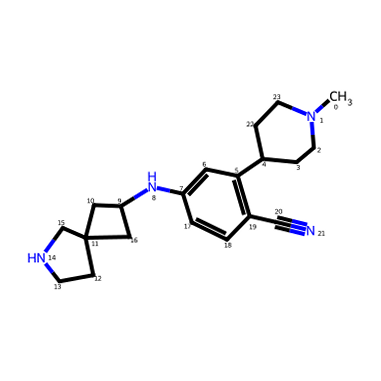 CN1CCC(c2cc(NC3CC4(CCNC4)C3)ccc2C#N)CC1